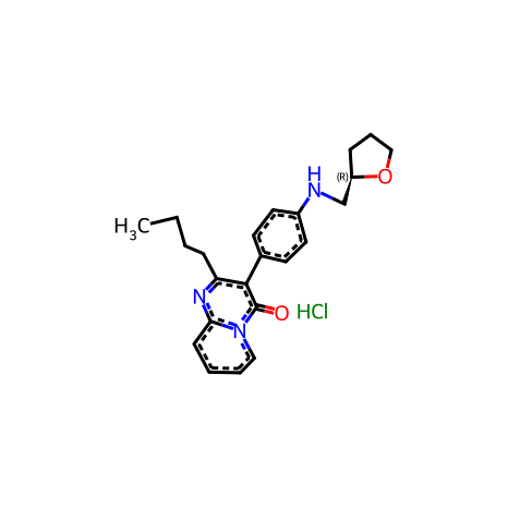 CCCCc1nc2ccccn2c(=O)c1-c1ccc(NC[C@H]2CCCO2)cc1.Cl